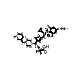 COc1cc(C)c(S(=O)(=O)N(Cc2cc(C(=O)N3CCN(CC4CCCN(C)C4)CC3)co2)C2CC2)c(C)c1.O=C(O)C(F)(F)F